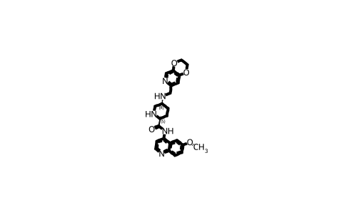 COc1ccc2nccc(NC(=O)[C@@H]3CC[C@@H](NCc4cc5c(cn4)OCCO5)CN3)c2c1